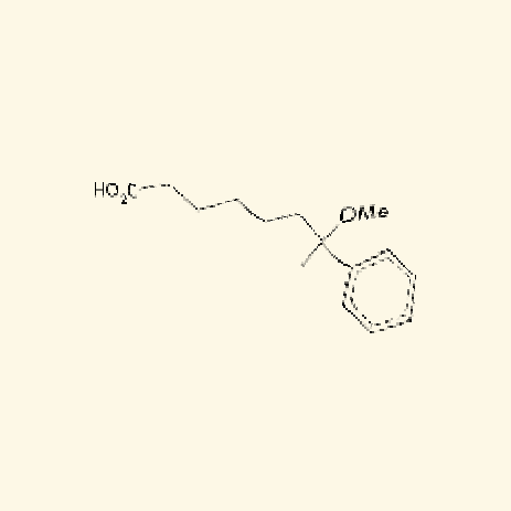 COC(C)(CCCCCC(=O)O)c1ccccc1